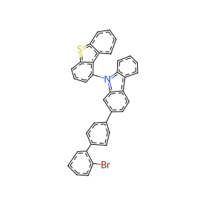 Brc1ccccc1-c1ccc(-c2ccc3c4ccccc4n(-c4cccc5sc6ccccc6c45)c3c2)cc1